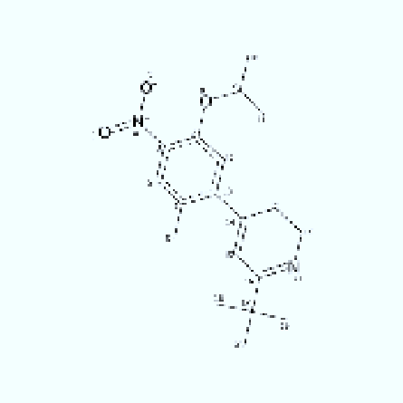 Cc1cc([N+](=O)[O-])c(OC(C)C)cc1C1=CC(C(C)(C)C)=NCC1